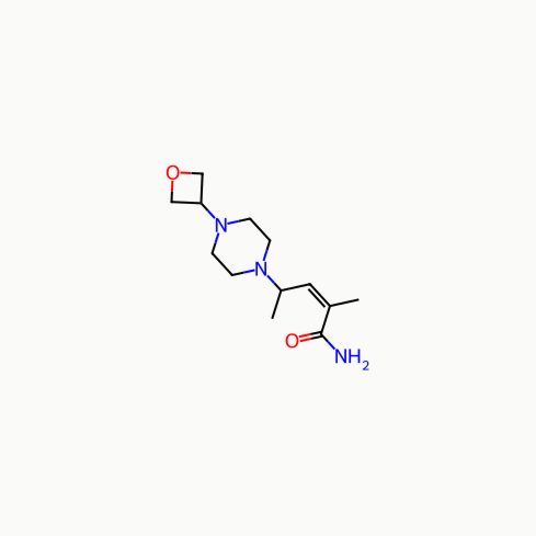 CC(=CC(C)N1CCN(C2COC2)CC1)C(N)=O